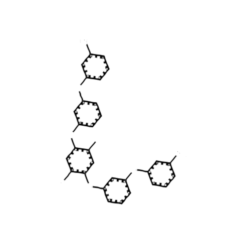 CC(C)(C)c1cc(Oc2cccc(Oc3cccc(N)c3)c2)c(C(C)(C)C)cc1Oc1cccc(Oc2cccc(N)c2)c1